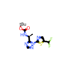 C[C@H](NC(=O)OC(C)(C)C)c1ncnn1-c1ncc(C(F)F)s1